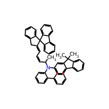 CC(/C=C\C=C1/Cc2ccccc2C12c1ccccc1-c1ccccc12)N(c1ccc2c(c1)C(C)(C)c1ccccc1-2)c1ccccc1-c1ccccc1